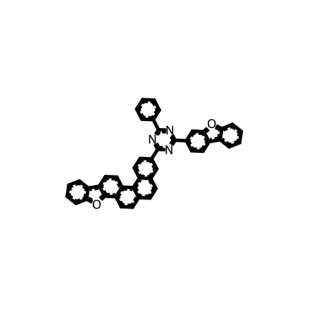 c1ccc(-c2nc(-c3ccc4c(ccc5ccc6c(ccc7c8ccccc8oc76)c54)c3)nc(-c3ccc4c(c3)oc3ccccc34)n2)cc1